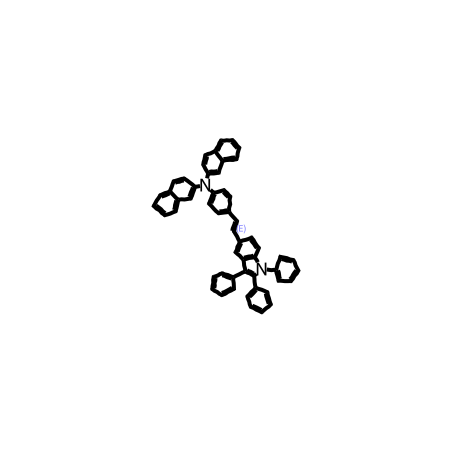 C(=C\c1ccc2c(c1)c(-c1ccccc1)c(-c1ccccc1)n2-c1ccccc1)/c1ccc(N(c2ccc3ccccc3c2)c2ccc3ccccc3c2)cc1